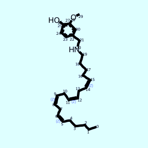 CCCCC/C=C\C/C=C\C/C=C\C/C=C\CCCCNCc1ccc(O)c(OC)c1